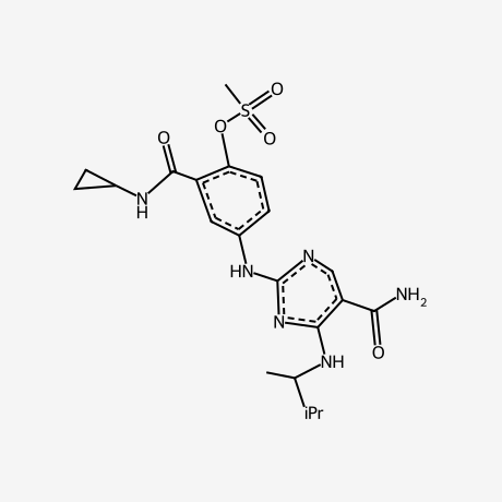 CC(C)C(C)Nc1nc(Nc2ccc(OS(C)(=O)=O)c(C(=O)NC3CC3)c2)ncc1C(N)=O